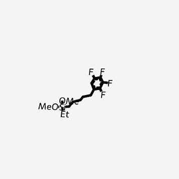 CC[Si](CCCCCc1cc(F)c(F)c(F)c1F)(OC)OC